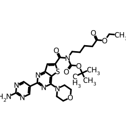 CCOC(=O)CCCCN(C(=O)OC(C)(C)C)C(=O)c1cc2nc(-c3cnc(N)nc3)nc(N3CCOCC3)c2s1